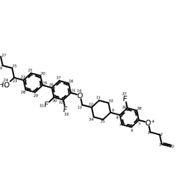 C=CCCOc1ccc(C2CCC(COc3ccc(-c4ccc(C(O)CCC)cc4)c(F)c3F)CC2)c(F)c1